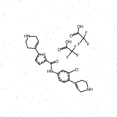 O=C(Nc1ccc(C2=CCNCC2)c(Cl)c1)c1ccc(C2=CCNCC2)s1.O=C(O)C(F)(F)F.O=C(O)C(F)(F)F